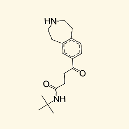 CC(C)(C)NC(=O)CCC(=O)c1ccc2c(c1)CCNCC2